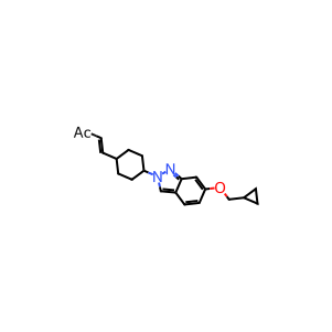 CC(=O)C=CC1CCC(n2cc3ccc(OCC4CC4)cc3n2)CC1